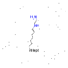 CCCCCCCCCCCCC=CNCCN